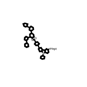 CCCCCCCc1ccc2c(c1)c1cc(-c3ccc(-c4nc5c(-c6cccc(-c7ccccc7)c6)cc(-c6cccc(-c7ccccc7)c6)cc5o4)cc3)ccc1n2-c1ccccc1